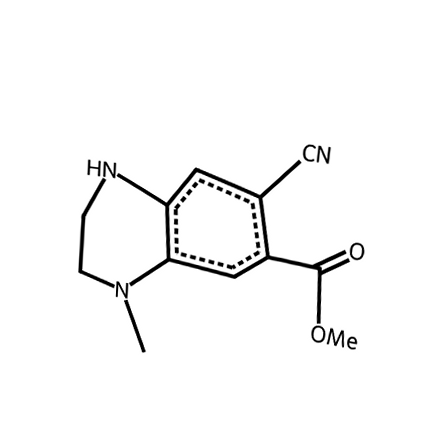 COC(=O)c1cc2c(cc1C#N)NCCN2C